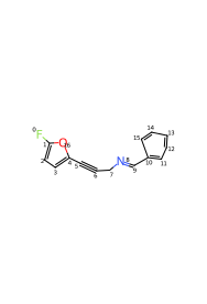 Fc1ccc(C#CCN=Cc2ccccc2)o1